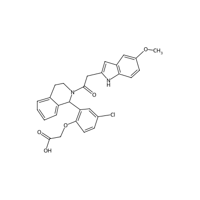 COc1ccc2[nH]c(CC(=O)N3CCc4ccccc4C3c3cc(Cl)ccc3OCC(=O)O)cc2c1